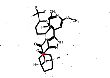 CCN1C[C@H](NC(=O)C2C[C@H]3CC[C@@H](C2)N3C(=O)c2cc(-c3cc(OC)ncc3F)[nH]n2)CC[C@H]1C(F)(F)F